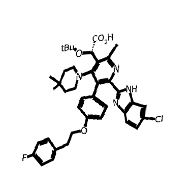 Cc1nc(-c2nc3ccc(Cl)cc3[nH]2)c(-c2ccc(OCCc3ccc(F)cc3)cc2)c(N2CCC(C)(C)CC2)c1[C@H](OC(C)(C)C)C(=O)O